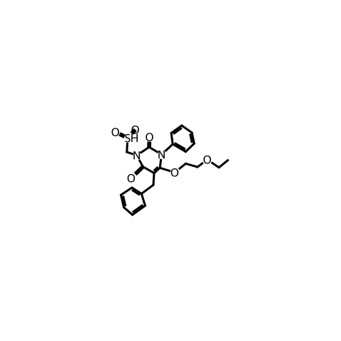 CCOCCOc1c(Cc2ccccc2)c(=O)n(C[SH](=O)=O)c(=O)n1-c1ccccc1